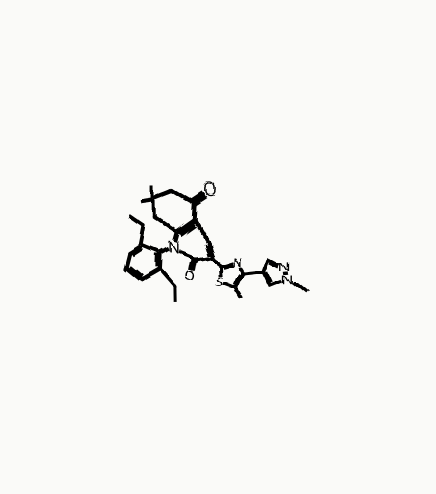 CCc1cccc(CC)c1-n1c2c(cc(-c3nc(-c4cnn(C)c4)c(C)s3)c1=O)C(=O)CC(C)(C)C2